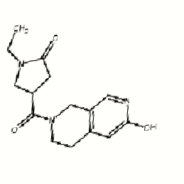 CCN1CC(C(=O)N2CCc3cc(O)ncc3C2)CC1=O